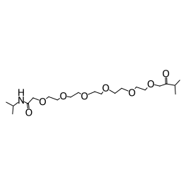 CC(C)NC(=O)COCCOCCOCCOCCOCCOCC(=O)C(C)C